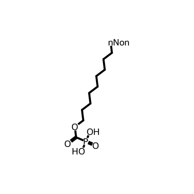 CCCCCCCCCCCCCCCCCCOC(=O)P(=O)(O)O